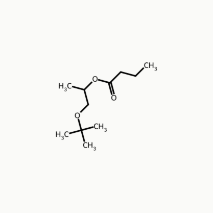 CCCC(=O)OC(C)COC(C)(C)C